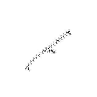 CCCCCCCCCCCCCCCCC(CCCCCCCCCCCCCCCC(=O)[O-])C(=O)[O-].[Na+].[Na+]